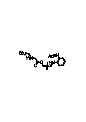 CC(=O)NC1CCCCC1NCC(C)(C)COC(=O)CNCC(C)(C)C